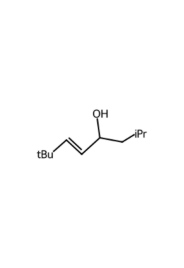 CC(C)CC(O)C=CC(C)(C)C